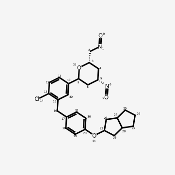 O=NC[C@@H]1C[C@H](N=O)CC(c2ccc(Cl)c(Cc3ccc(OC4CC5CCCC5C4)cc3)c2)O1